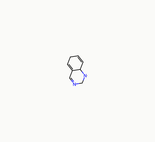 C1=CC2[N]CN=CC2=CC1